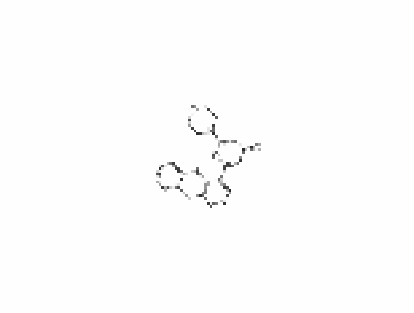 O=c1cc(-c2cccc3c2Sc2cc[c]cc2C3)oc(N2CCOCC2)c1